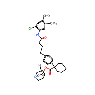 COc1cc(NC(=O)CCCc2ccc(C3(C(=O)O[C@H]4CN5CCC4CC5)CCCCC3)cc2)c(Cl)cc1C=O